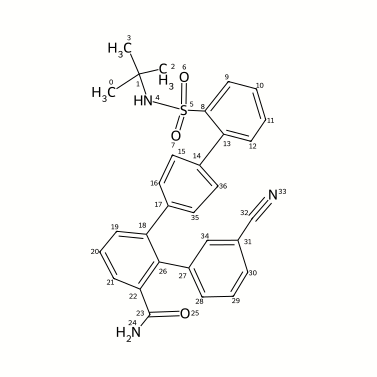 CC(C)(C)NS(=O)(=O)c1ccccc1-c1ccc(-c2cccc(C(N)=O)c2-c2cccc(C#N)c2)cc1